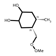 COOC[C@@H]1CC(O)C(O)C[C@@H]1C